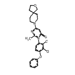 Cc1nc(N2CCC3(CCOC3)CC2)cc(=O)n1-c1ccc(Oc2ccccc2)c(Cl)c1Cl